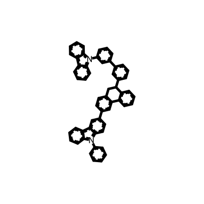 c1ccc(-n2c3ccccc3c3cc(-c4ccc5c(c4)-c4ccccc4C(c4cccc(-c6cccc(-n7c8ccccc8c8ccccc87)c6)c4)C5)ccc32)cc1